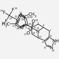 Cc1nc(C2CC3Cc4[nH]ncc4C(C2)N3S(=O)(=O)c2ccc(C(F)(F)F)cc2)n(C)n1